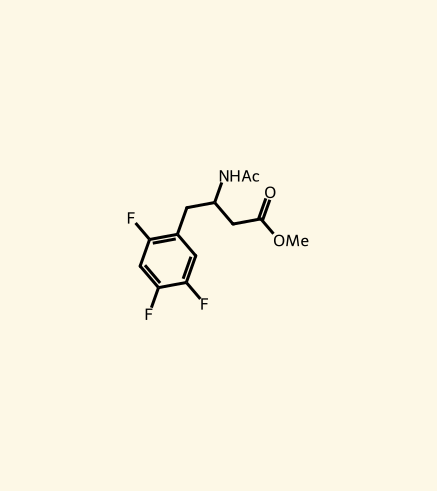 COC(=O)CC(Cc1cc(F)c(F)cc1F)NC(C)=O